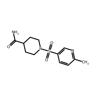 Cc1ccc(S(=O)(=O)N2CCC(C(N)=O)CC2)cn1